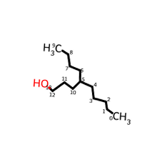 CCCCCC(CCCC)CCCO